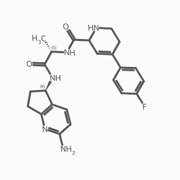 C[C@H](NC(=O)C1C=C(c2ccc(F)cc2)CCN1)C(=O)N[C@@H]1CCc2nc(N)ccc21